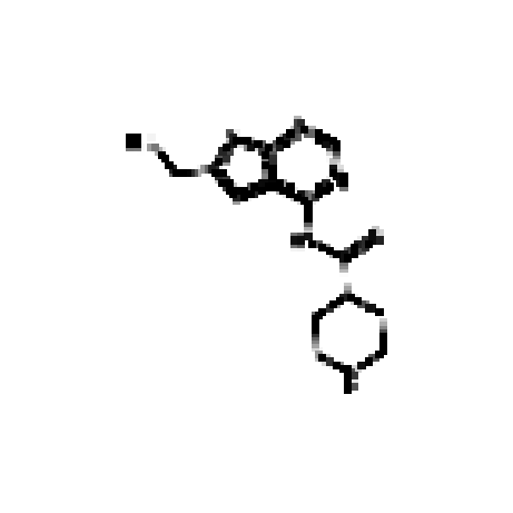 CCc1cc2c(NC(=O)C3CCNCC3)ncnc2s1